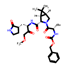 CC(C)(C)[C@H](NC(=O)OCc1ccccc1)C(=O)N1C[C@H]2[C@@H]([C@H]1C(=O)N[C@@H](C[C@@H]1CCNC1=O)C(=O)COC(F)(F)F)C2(C)C